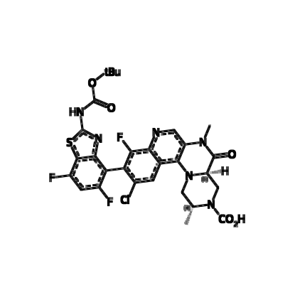 C[C@@H]1CN2c3c(cnc4c(F)c(-c5c(F)cc(F)c6sc(NC(=O)OC(C)(C)C)nc56)c(Cl)cc34)N(C)C(=O)[C@H]2CN1C(=O)O